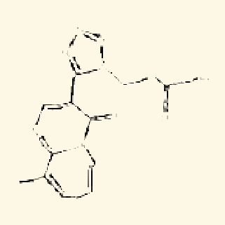 CCC(C)C(=O)OCn1nnnc1-c1cnc2c(C)cccn2c1=O